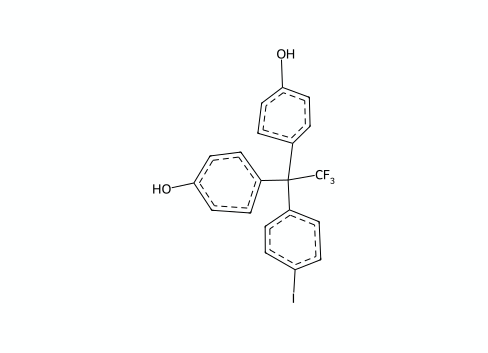 Oc1ccc(C(c2ccc(O)cc2)(c2ccc(I)cc2)C(F)(F)F)cc1